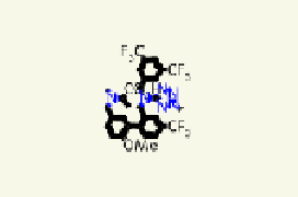 COc1ccc(CN(C)C(C)C(=O)O)cc1-c1ccc(C(F)(F)F)cc1CN(Cc1cc(C(F)(F)F)cc(C(F)(F)F)c1)c1nnn(C)n1